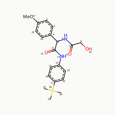 COc1ccc(C(NC(=O)CO)C(=O)Nc2ccc(S(C)(C)C)cc2)cc1